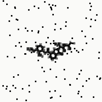 BC(C(=O)NC(=O)CC)N1Cc2c(NCc3cccc(SN)c3P)cccc2C1=O